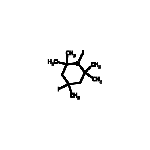 CC1(I)CC(C)(C)N(I)C(C)(C)C1